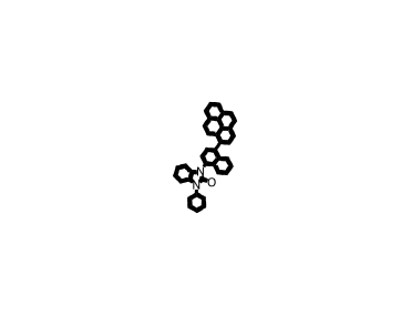 O=c1n(-c2ccccc2)c2ccccc2n1-c1ccc(-c2ccc3ccc4cccc5ccc2c3c45)c2ccccc12